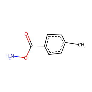 Cc1ccc(C(=O)ON)cc1